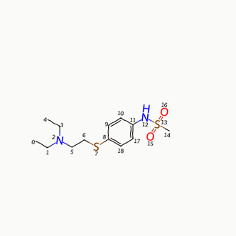 CCN(CC)CCSc1ccc(NS(C)(=O)=O)cc1